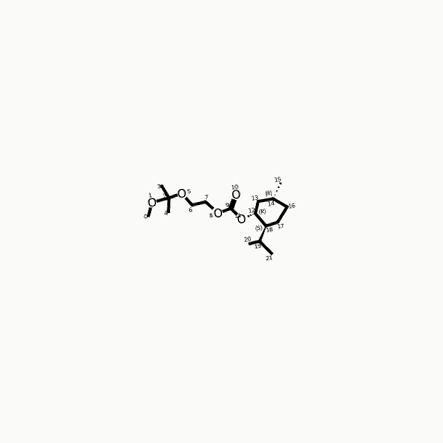 COC(C)(C)OCCOC(=O)O[C@@H]1C[C@H](C)CC[C@H]1C(C)C